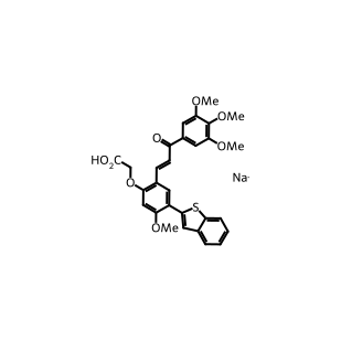 COc1cc(OCC(=O)O)c(C=CC(=O)c2cc(OC)c(OC)c(OC)c2)cc1-c1cc2ccccc2s1.[Na]